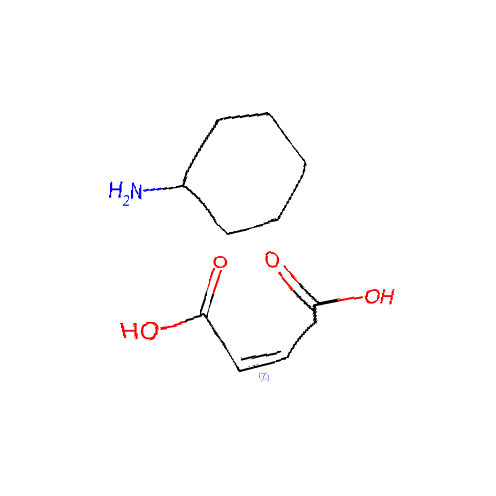 NC1CCCCC1.O=C(O)/C=C\C(=O)O